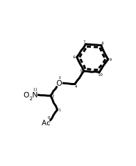 CC(=O)CC(OCc1ccccc1)[N+](=O)[O-]